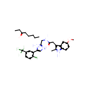 CCC(=O)CCCCC[C@H](NC(=O)Cc1c(C)[nH]c2ccc(OC)cc12)C1=[N+]C=C(c2cc(C(F)(F)F)ccc2F)N1